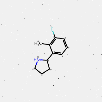 Cc1c(F)cccc1C1CCCN1